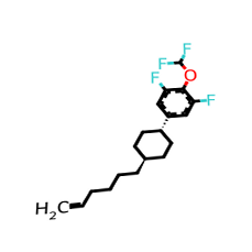 C=CCCCC[C@H]1CC[C@H](c2cc(F)c(OC(F)F)c(F)c2)CC1